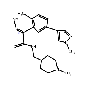 CCC/N=C(/C(=O)NCC1CCN(C)CC1)c1cc(-c2cnn(C)c2)ccc1C